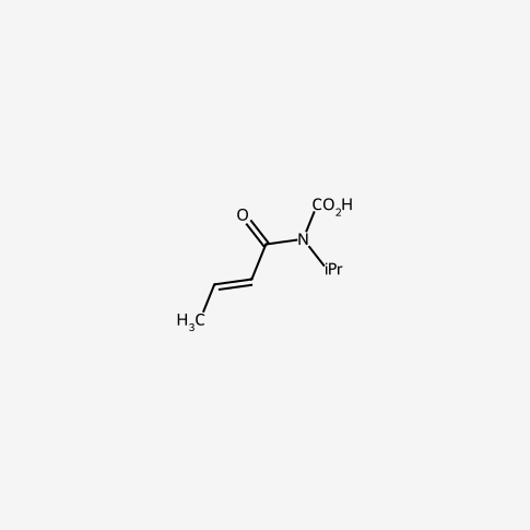 C/C=C/C(=O)N(C(=O)O)C(C)C